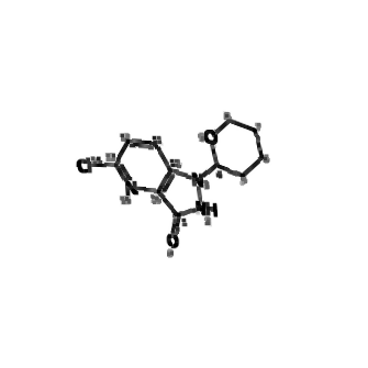 O=c1[nH]n(C2CCCCO2)c2ccc(Cl)nc12